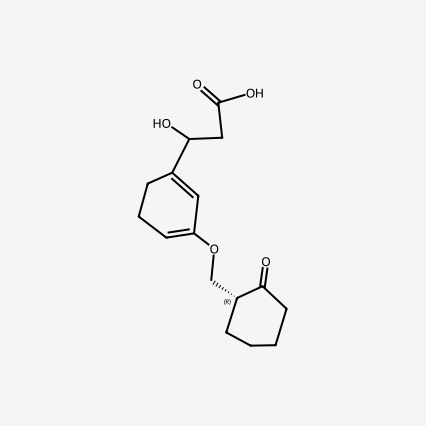 O=C(O)CC(O)C1=CC(OC[C@H]2CCCCC2=O)=CCC1